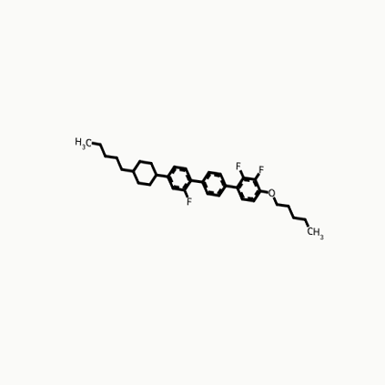 CCCCCOc1ccc(-c2ccc(-c3ccc(C4CCC(CCCCC)CC4)cc3F)cc2)c(F)c1F